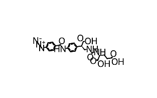 [N-]=[N+]=Nc1ccc(C(=O)Nc2ccc([C@H](CNC(=O)N[C@@H](CCC(=O)O)C(=O)O)C(=O)O)cc2)cc1